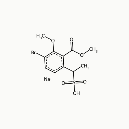 COC(=O)c1c(C(C)S(=O)(=O)O)ccc(Br)c1OC.[Na]